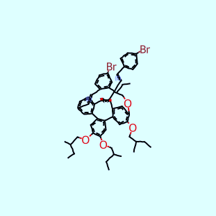 CCC(C)COc1cc2c(cc1OCC(C)CC)-c1cc(OCC(C)CC)c3cc1-c1cc(/C=C/c4ccc(Br)cc4)ccc1-c1ccc(cc1-2)/C=C/c1ccc(Br)cc1C(CC)CO3